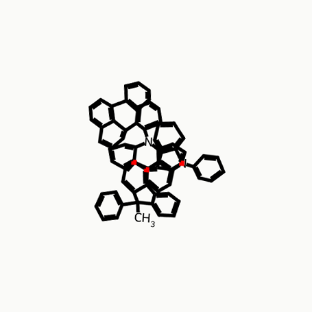 CC1(c2ccccc2)c2ccccc2-c2c(-c3ccccc3N(c3ccccc3-c3cccc4cccc(-c5ccccc5)c34)c3ccccc3-c3cccc4c3c3ccccc3n4-c3ccccc3)cccc21